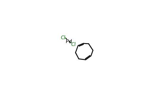 C1=CCCC=CCC1.[Cl][Pd][Cl]